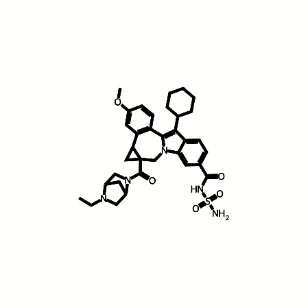 CCN1CC2CC1CN2C(=O)C12CC1c1cc(OC)ccc1-c1c(C3CCCCC3)c3ccc(C(=O)NS(N)(=O)=O)cc3n1C2